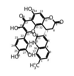 Cc1ccc2cc([C@H]3CC(=O)Oc4cc(O)c5c(=O)c(O)c(-c6ccc(O)c(O)c6)oc5c43)c(=O)[nH]c2c1